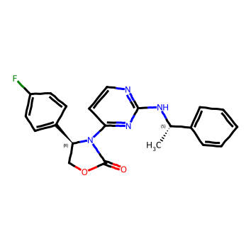 C[C@H](Nc1nccc(N2C(=O)OC[C@H]2c2ccc(F)cc2)n1)c1ccccc1